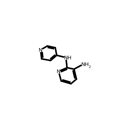 Nc1cccnc1Nc1ccncc1